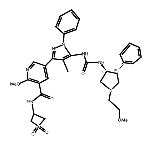 COCCN1C[C@@H](NC(=O)Nc2c(C)c(-c3cnc(OC)c(C(=O)NC4CS(=O)(=O)C4)c3)nn2-c2ccccc2)[C@H](c2ccccc2)C1